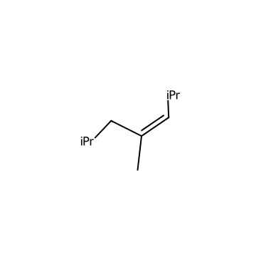 CC(=CC(C)C)CC(C)C